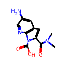 CN(C)C(=O)c1cc2cc(N)cnc2n1C(=O)O